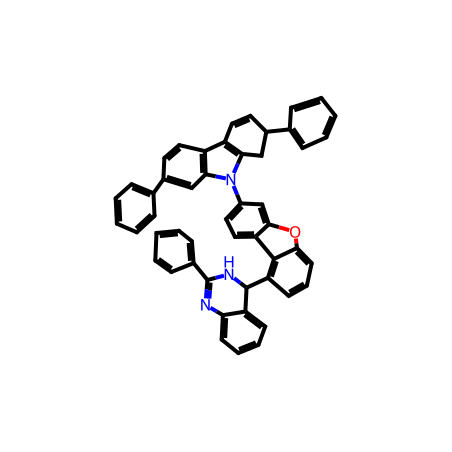 C1=CC(c2ccccc2)Cc2c1c1ccc(-c3ccccc3)cc1n2-c1ccc2c(c1)oc1cccc(C3NC(c4ccccc4)=Nc4ccccc43)c12